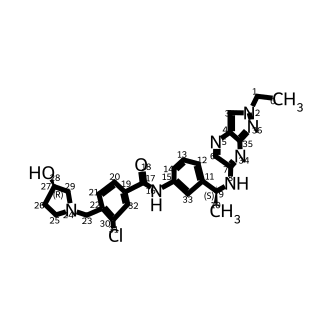 CCn1cc2ncc(N[C@@H](C)c3cccc(NC(=O)c4ccc(CN5CC[C@@H](O)C5)c(Cl)c4)c3)nc2n1